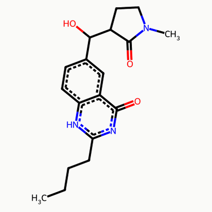 CCCCc1nc(=O)c2cc(C(O)C3CCN(C)C3=O)ccc2[nH]1